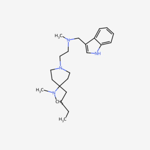 CCCCC1(N(C)C)CCN(CCN(C)Cc2c[nH]c3ccccc23)CC1